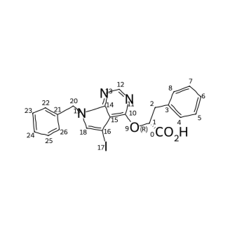 O=C(O)[C@@H](Cc1ccccc1)Oc1ncnc2c1c(I)cn2Cc1ccccc1